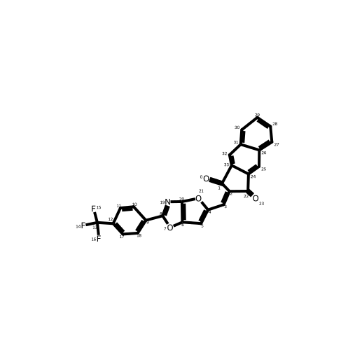 O=C1C(=Cc2cc3oc(-c4ccc(C(F)(F)F)cc4)nc3o2)C(=O)c2cc3ccccc3cc21